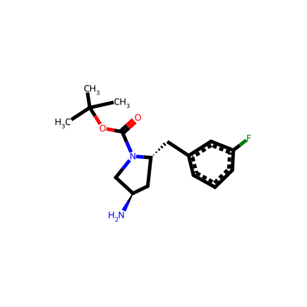 CC(C)(C)OC(=O)N1C[C@H](N)C[C@H]1Cc1cccc(F)c1